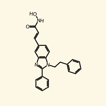 O=C(/C=C/c1ccc2c(c1)nc(-c1ccccc1)n2CCc1ccccc1)NO